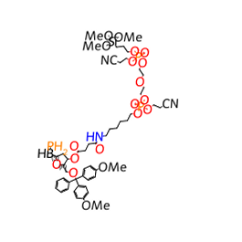 COc1ccc(C(OC[C@H]2O[C@@H](BP)CC2OC(=O)CCC(=O)NCCCCCCOP(=O)(OCCC#N)OCCOCCOP(=O)(OCCC#N)OCCC[Si](OC)(OC)OC)(c2ccccc2)c2ccc(OC)cc2)cc1